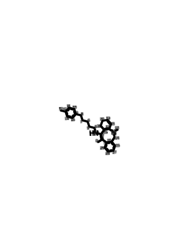 C/C1=C(\NCCCCCc2ccc(C)cc2)C2=C(C=CCC2)N(C)Cc2ccccc21